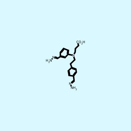 NN=Cc1ccc(CCN(CCCC(=O)O)c2cccc(C=NN)c2)cc1